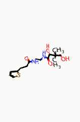 CC(C)(CO)[C@@H](O)C(=O)NCCNC(=O)CCc1cccs1